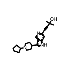 CC(C)(O)C#Cc1cc2[nH]cc(C3CCN(C4CCCC4)CC3)c2cn1